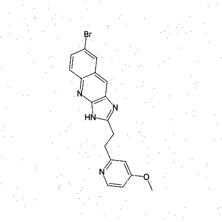 COc1ccnc(CCc2nc3cc4cc(Br)ccc4nc3[nH]2)c1